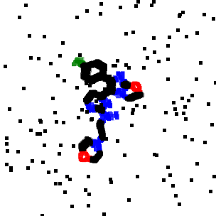 Fc1ccc(-c2nc3occn3c2-c2ccnc(NCCN3CCOCC3)n2)cc1